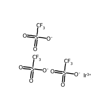 O=S(=O)([O-])C(F)(F)F.O=S(=O)([O-])C(F)(F)F.O=S(=O)([O-])C(F)(F)F.[Ir+3]